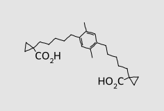 Cc1cc(CCCCCC2(C(=O)O)CC2)c(C)cc1CCCCCC1(C(=O)O)CC1